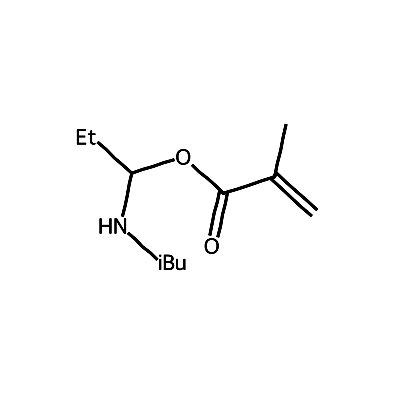 C=C(C)C(=O)OC(CC)NC(C)CC